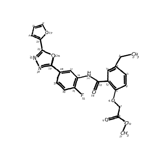 CCc1ccc(OCC(=O)OC)c(C(=O)Nc2cc(-c3nnc(-c4ccco4)o3)ccc2F)c1